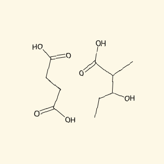 CCC(O)C(C)C(=O)O.O=C(O)CCC(=O)O